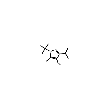 Cc1c(O)c(C(C)C)nn1C(C)(C)C